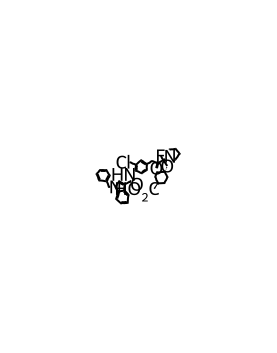 O=C(Nc1ccc(CC(=O)C(F)(O[C@H]2CC[C@H](C(=O)O)CC2)N2CCCC2)cc1Cl)c1cn(Cc2ccccc2)c2ccccc12